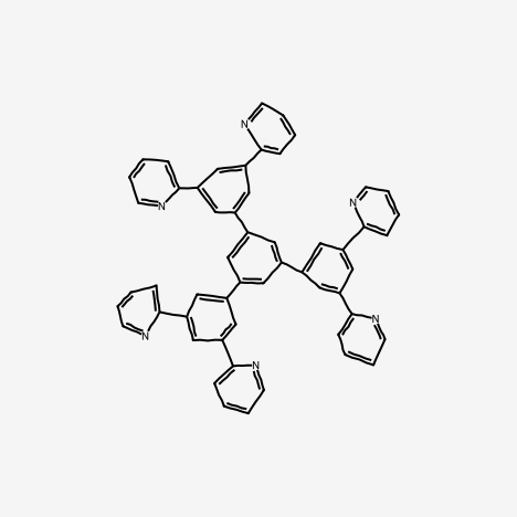 c1ccc(-c2cc(-c3cc(-c4cc(-c5ccccn5)cc(-c5ccccn5)c4)cc(-c4cc(-c5ccccn5)cc(-c5ccccn5)c4)c3)cc(-c3ccccn3)c2)nc1